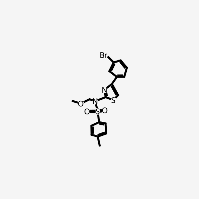 COCN(c1nc(-c2cccc(Br)c2)cs1)S(=O)(=O)c1ccc(C)cc1